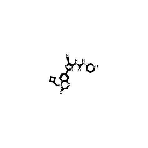 N#Cc1sc(-c2ccc3c(c2)OCC(=O)N3CC2CCC2)nc1NC(=O)N[C@H]1CCCNC1